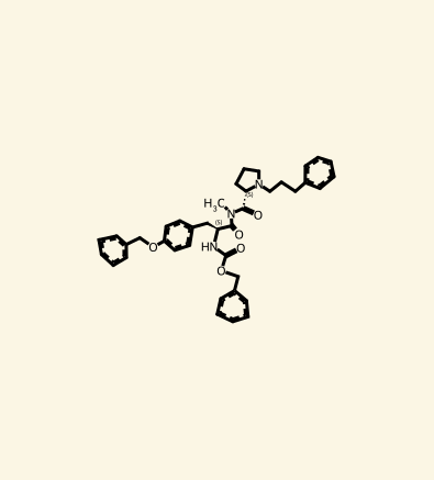 CN(C(=O)[C@H](Cc1ccc(OCc2ccccc2)cc1)NC(=O)OCc1ccccc1)C(=O)[C@@H]1CCCN1CCCc1ccccc1